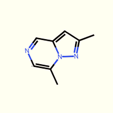 Cc1cc2cn[c]c(C)n2n1